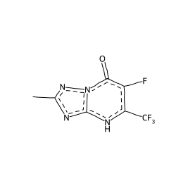 Cc1nc2[nH]c(C(F)(F)F)c(F)c(=O)n2n1